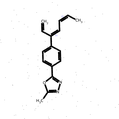 C=C/C(=C\C=C/C)c1ccc(-c2nnc(C)o2)cc1